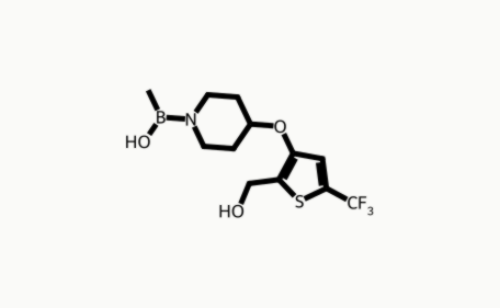 CB(O)N1CCC(Oc2cc(C(F)(F)F)sc2CO)CC1